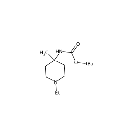 CCN1CCC(C)(NC(=O)OC(C)(C)C)CC1